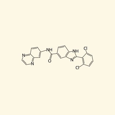 O=C(Nc1ccc2nccnc2c1)c1ccc2[nH]c(-c3c(Cl)cccc3Cl)nc2c1